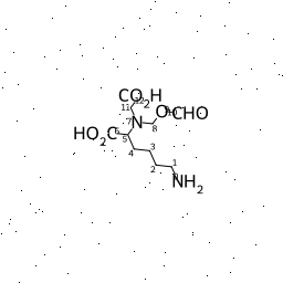 NCCCCC(C(=O)O)N(COC=O)CC(=O)O